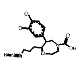 [N-]=[N+]=NCCCC1OCCN(C(=O)O)CC1c1ccc(Cl)c(Cl)c1